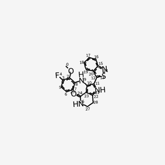 COc1c(F)cccc1Nc1c(-c2snc3ccccc23)[nH]c2c1C(=O)NCC2